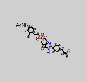 CC(=O)Nc1ccc(CCS(=O)(=O)N2CCC3(CC2)N=C([C@H]2CC[C@H](CC=C(F)F)CC2)NC3=O)c(C)c1